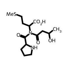 CSCCC(C(=O)O)N(C(=O)CC(C)O)C(=O)C1CCCN1